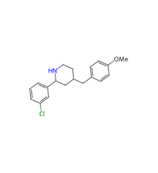 COc1ccc(CC2CCNC(c3cccc(Cl)c3)C2)cc1